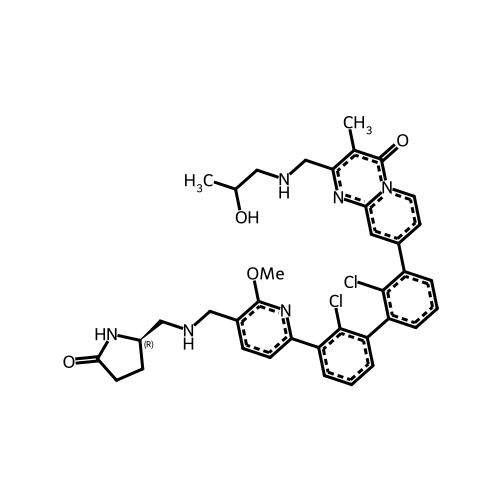 COc1nc(-c2cccc(-c3cccc(-c4ccn5c(=O)c(C)c(CNCC(C)O)nc5c4)c3Cl)c2Cl)ccc1CNC[C@H]1CCC(=O)N1